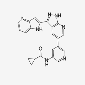 O=C(Nc1cncc(-c2cnc3[nH]nc(-c4cc5ncccc5[nH]4)c3c2)c1)C1CC1